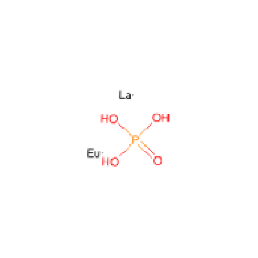 O=P(O)(O)O.[Eu].[La]